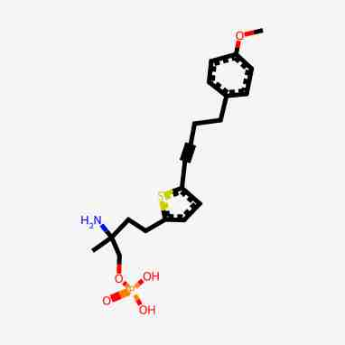 COc1ccc(CCC#Cc2ccc(CCC(C)(N)COP(=O)(O)O)s2)cc1